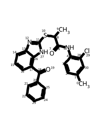 Cc1ccc(NC(=O)C(C)Sc2nc3cccc(C(=O)c4ccccc4)c3[nH]2)c(Cl)c1